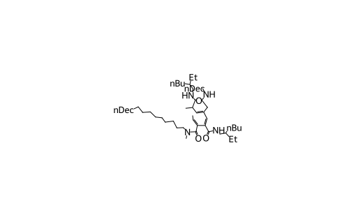 C/C=C(C(=O)N(C)CCCCCCCCCCCCCCCCCCC)\C(=C/C(=CC(C)C(=O)NCC(CC)CCCC)CCNCCCCCCCCCC)C(=O)NCC(CC)CCCC